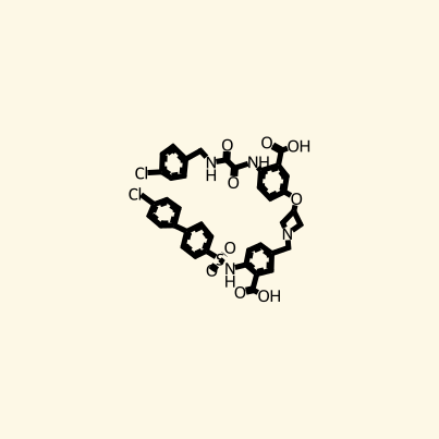 O=C(NCc1ccc(Cl)cc1)C(=O)Nc1ccc(OC2CN(Cc3ccc(NS(=O)(=O)c4ccc(-c5ccc(Cl)cc5)cc4)c(C(=O)O)c3)C2)cc1C(=O)O